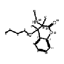 CCCCOC1(C)c2ccccc2OC(=O)C1(C)NC